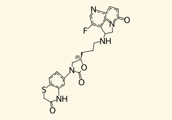 O=C1CSc2ccc(N3C[C@@H](CCCNC4Cn5c(=O)ccc6ncc(F)c4c65)OC3=O)cc2N1